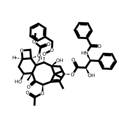 COC(=O)O[C@@]12CO[C@@H]1C[C@H](O)[C@@]1(C)C(=O)[C@H](OC(C)=O)C3=C(C)[C@@H](OC(=O)[C@H](O)[C@@H](NC(=O)c4ccccc4)c4ccccc4)C[C@@](O)([C@@H](OOCc4ccccc4)[C@H]21)C3(C)C